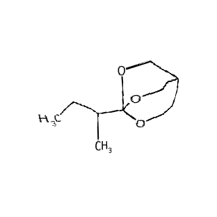 CCC(C)C12OCC(CO1)CO2